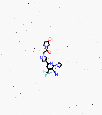 N#Cc1c(C(F)(F)F)cc(-c2cnn(CC(=O)N3CCC(O)C3)c2)nc1N1CCC1